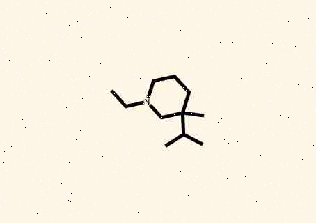 CCN1CCCC(C)(C(C)C)C1